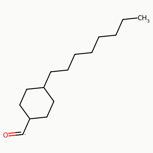 CCCCCCCCC1CCC([C]=O)CC1